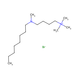 CCCCCCCCN(C)CCCC[N+](C)(C)C.[Br-]